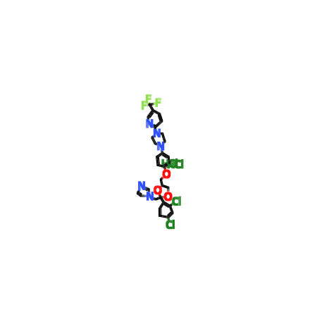 Cl.Cl.FC(F)(F)c1ccc(N2CCN(c3ccc(OCC4COC(Cn5ccnc5)(c5ccc(Cl)cc5Cl)O4)cc3)CC2)nc1